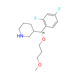 COCCCO[C@@H](c1ccc(F)cc1F)C1CCCNC1